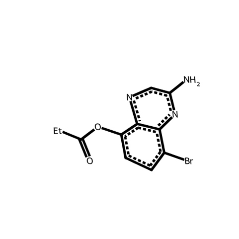 CCC(=O)Oc1ccc(Br)c2nc(N)cnc12